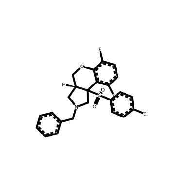 O=S(=O)(c1ccc(Cl)cc1)C12CN(Cc3ccccc3)C[C@@H]1COc1c(F)ccc(F)c12